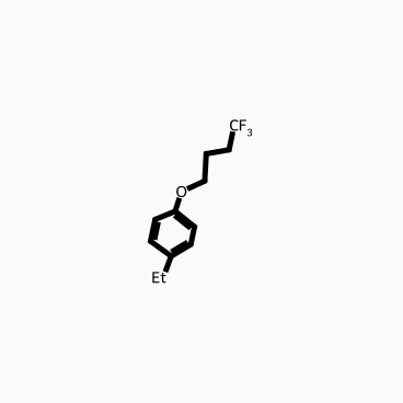 CCc1ccc(OCCCC(F)(F)F)cc1